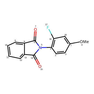 COc1ccc(N2C(=O)c3ccccc3C2=O)c(F)c1